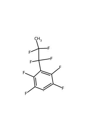 CC(F)(F)C(F)(F)c1c(F)c(F)[c]c(F)c1F